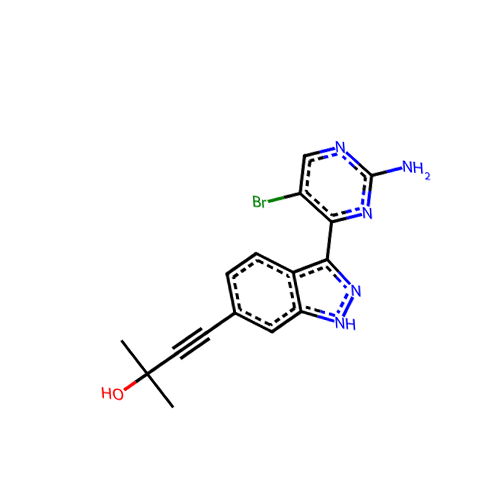 CC(C)(O)C#Cc1ccc2c(-c3nc(N)ncc3Br)n[nH]c2c1